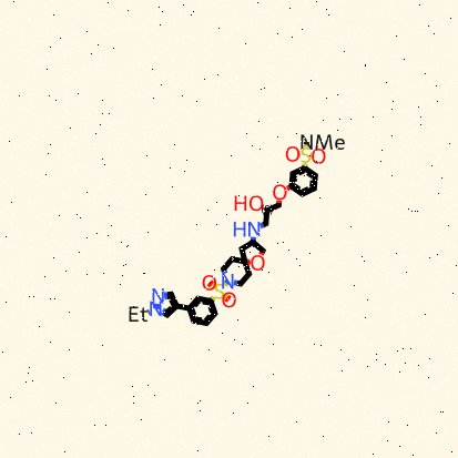 CCn1cc(-c2cccc(S(=O)(=O)N3CCC4(CC3)CC(NC[C@H](O)COc3cccc(S(=O)(=O)NC)c3)CO4)c2)cn1